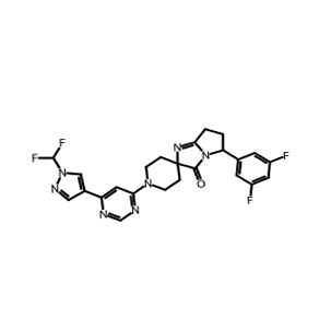 O=C1N2C(=NC13CCN(c1cc(-c4cnn(C(F)F)c4)ncn1)CC3)CCC2c1cc(F)cc(F)c1